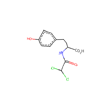 O=C(NC(Cc1ccc(O)cc1)C(=O)O)C(Cl)Cl